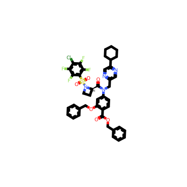 O=C(OCc1ccccc1)c1ccc(N(Cc2cnc(C3CCCCC3)cn2)C(=O)[C@H]2CCN2S(=O)(=O)c2c(F)c(F)c(Cl)c(F)c2F)cc1OCc1ccccc1